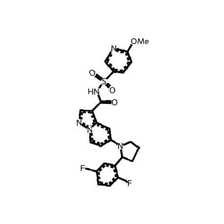 COc1ccc(S(=O)(=O)NC(=O)c2cnn3ccc(N4CCCC4c4cc(F)ccc4F)cc23)cn1